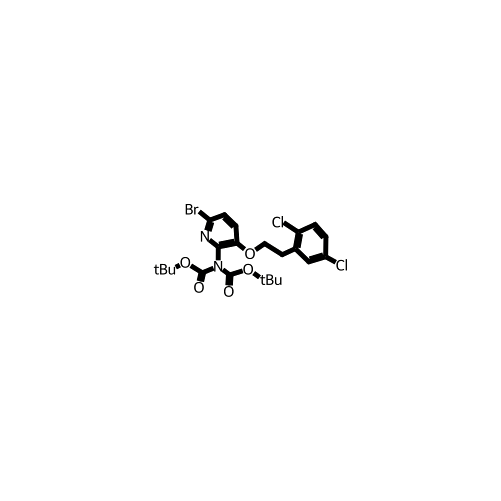 CC(C)(C)OC(=O)N(C(=O)OC(C)(C)C)c1nc(Br)ccc1OCCc1cc(Cl)ccc1Cl